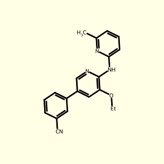 CCOc1cc(-c2cccc(C#N)c2)cnc1Nc1cccc(C)n1